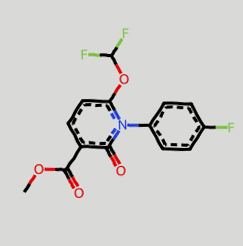 COC(=O)c1ccc(OC(F)F)n(-c2ccc(F)cc2)c1=O